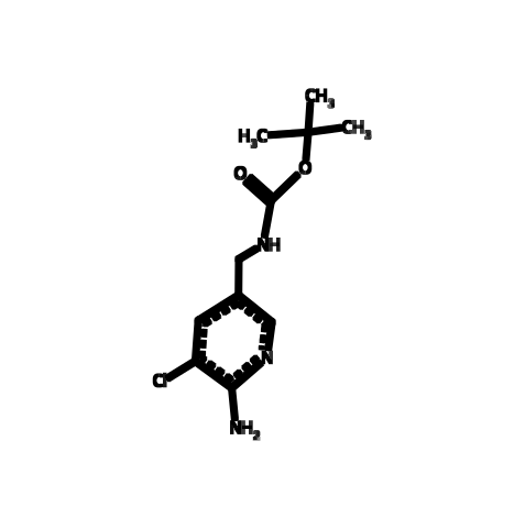 CC(C)(C)OC(=O)NCc1cnc(N)c(Cl)c1